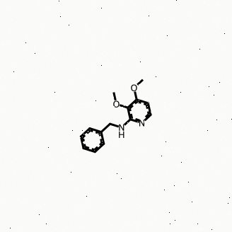 COc1ccnc(NCc2ccccc2)c1OC